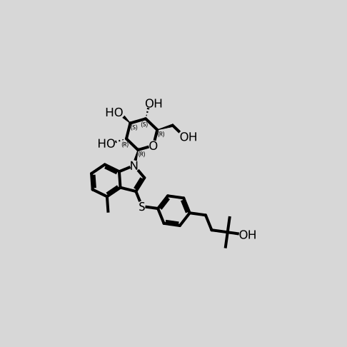 Cc1cccc2c1c(Sc1ccc(CCC(C)(C)O)cc1)cn2[C@@H]1O[C@H](CO)[C@@H](O)[C@H](O)[C@H]1O